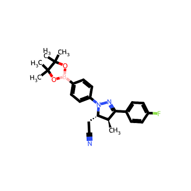 C[C@@H]1C(c2ccc(F)cc2)=NN(c2ccc(B3OC(C)(C)C(C)(C)O3)cc2)[C@H]1CC#N